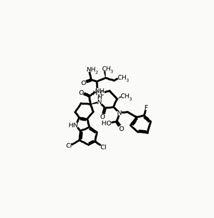 CC[C@H](C)C(NC(=O)[C@@]1(NC(=O)C([C@@H](C)CC)N(Cc2ccccc2F)C(=O)O)CCc2[nH]c3c(Cl)cc(Cl)cc3c2C1)C(N)=O